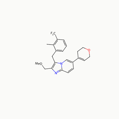 COCc1nc2ccc(C3=CCOCC3)cn2c1Cc1cccc(C(F)(F)F)c1C